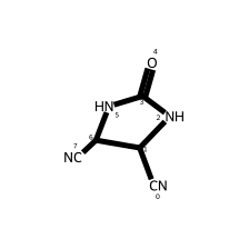 N#CC1NC(=O)NC1C#N